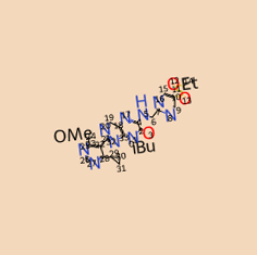 CC[C@@H](C)n1c(=O)c(NCc2ncc(S(=O)(=O)CC)cn2)nc2cnc(-c3c(OC)ncnc3C3CC3)nc21